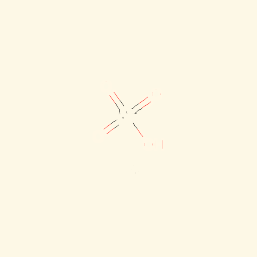 [O]=[Mn](=[O])(=[O])[OH].[Sc]